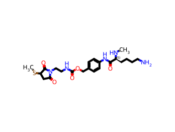 CN[C@@H](CCCCN)C(=O)Nc1ccc(COC(=O)NCCN2C(=O)CC(SC)C2=O)cc1